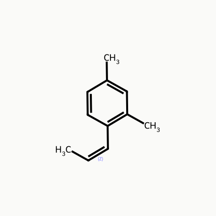 C/C=C\c1ccc(C)cc1C